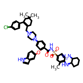 Cc1cc(S(=O)(=O)NC(=O)c2ccc(N3CCN(CC4=C(c5ccc(Cl)cc5)CC(C)(C)CC4)CC3)cc2Oc2ccc3[nH]ccc3c2)ccc1NC1CCCCC1N